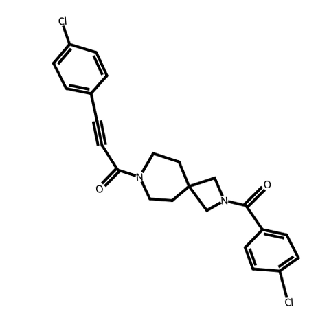 O=C(C#Cc1ccc(Cl)cc1)N1CCC2(CC1)CN(C(=O)c1ccc(Cl)cc1)C2